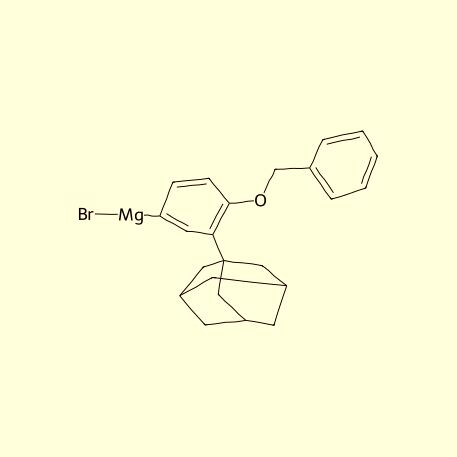 [Br][Mg][c]1ccc(OCc2ccccc2)c(C23CC4CC(CC(C4)C2)C3)c1